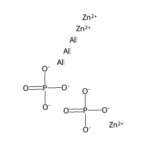 O=P([O-])([O-])[O-].O=P([O-])([O-])[O-].[Al].[Al].[Al].[Zn+2].[Zn+2].[Zn+2]